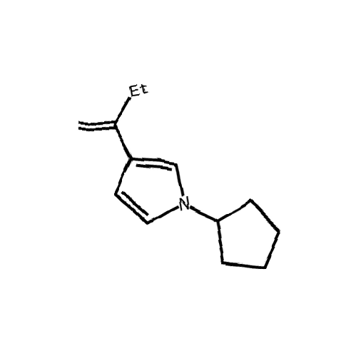 C=C(CC)c1ccn(C2CCCC2)c1